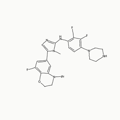 CC(C)N1CCOc2c(F)cc(-c3cnc(Nc4ccc(N5CCNCC5)c(F)c4F)n3C)cc21